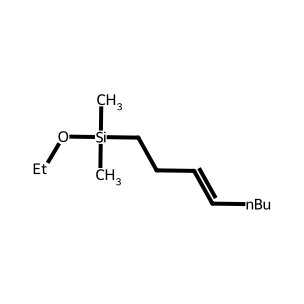 CCCCC=CCC[Si](C)(C)OCC